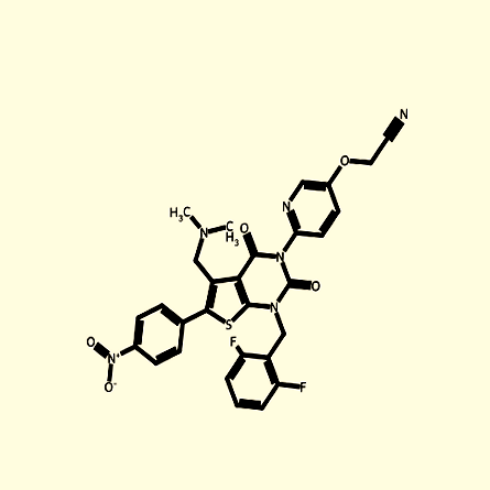 CN(C)Cc1c(-c2ccc([N+](=O)[O-])cc2)sc2c1c(=O)n(-c1ccc(OCC#N)cn1)c(=O)n2Cc1c(F)cccc1F